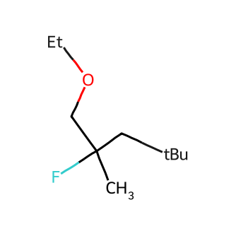 CCOCC(C)(F)CC(C)(C)C